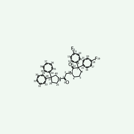 O=C(CN1CCCC(c2ccc(F)cc2)(c2ccc(F)cc2)C1=O)N1CCC(c2ccccc2)(c2ccccc2)C1